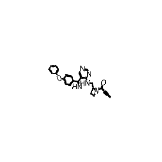 CC#CC(=O)N1CCC1CNc1ncncc1C(=N)c1ccc(Oc2ccccc2)cc1